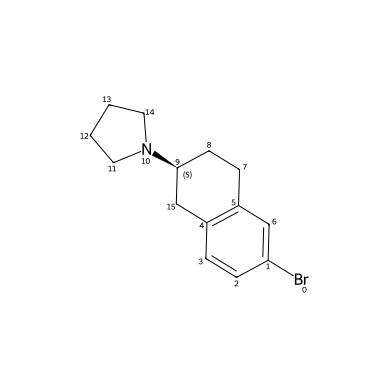 Brc1ccc2c(c1)CC[C@H](N1CCCC1)C2